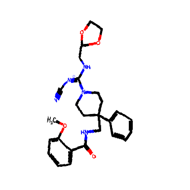 COc1ccccc1C(=O)NCC1(c2ccccc2)CCN(/C(=N\C#N)NCC2OCCO2)CC1